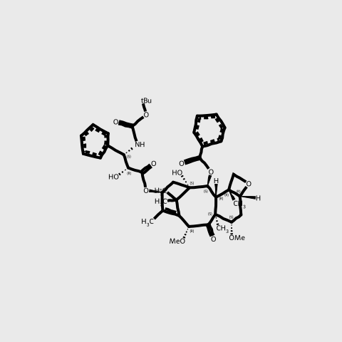 CO[C@H]1C(=O)[C@]2(C)[C@@H](OC)C[C@H]3OC[C@@]3(C)[C@H]2[C@H](OC(=O)c2ccccc2)[C@]2(O)C[C@H](OC(=O)[C@H](O)[C@@H](NC(=O)OC(C)(C)C)c3ccccc3)C(C)=C1C2(C)C